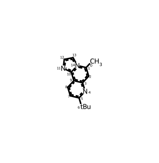 Cc1cc2nc(C(C)(C)C)ccc2c2nccn12